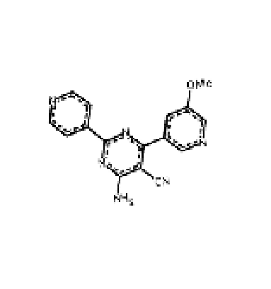 COc1cncc(-c2nc(-c3ccncc3)nc(N)c2C#N)c1